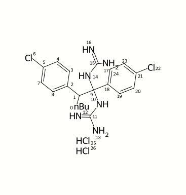 CCCCC(c1ccc(Cl)cc1)C(NC(=N)N)(NC(=N)N)c1ccc(Cl)cc1.Cl.Cl